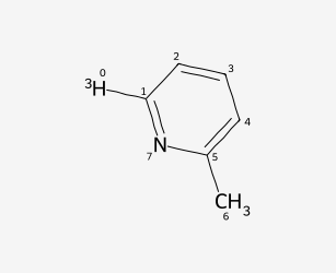 [3H]c1cccc(C)n1